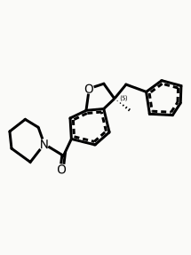 C[C@@]1(Cc2ccccc2)COc2cc(C(=O)N3CCCCC3)ccc21